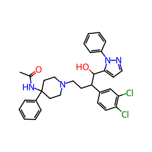 CC(=O)NC1(c2ccccc2)CCN(CCC(c2ccc(Cl)c(Cl)c2)C(O)c2ccnn2-c2ccccc2)CC1